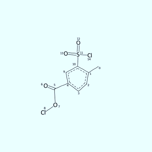 Cc1ccc(C(=O)OCl)cc1S(=O)(=O)Cl